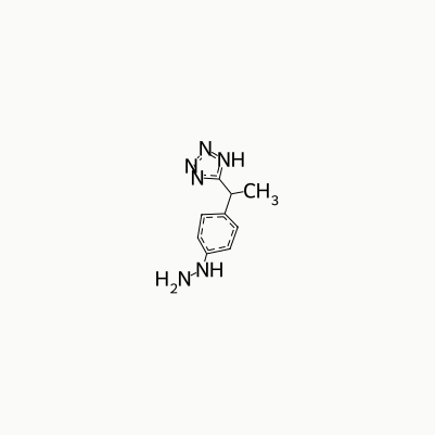 CC(c1ccc(NN)cc1)c1nnn[nH]1